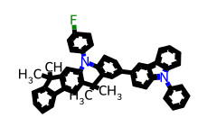 CC1(C)c2ccccc2-c2cc3c(cc21)N(c1ccc(F)cc1)c1ccc(-c2ccc4c(c2)c2ccccc2n4-c2ccccc2)cc1C3(C)C